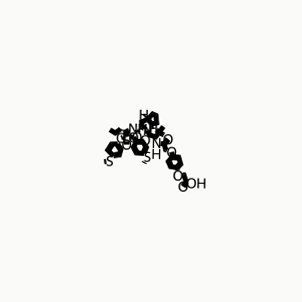 CCC[C@H](NC(=O)[C@@H]1C[C@@H]2CCC[C@@H]2N1C(=O)[C@@H](NC(=O)COc1ccc(OCC(=O)O)cc1)C(C)(C)C)P(=O)(Oc1ccc(SC)cc1)Oc1ccc(SC)cc1